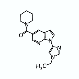 CCn1cnc(-n2ccc3cc(C(=O)N4CCCCC4)cnc32)c1